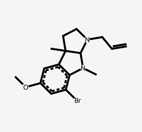 C=CCN1CCC2(C)c3cc(OC)cc(Br)c3N(C)C12